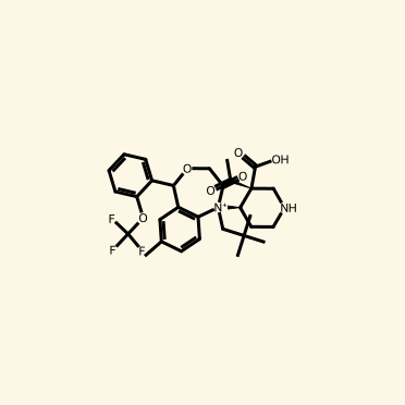 CC(=O)[C@@]1(C(=O)O)CNCC[C@H]1[N+]1(CC(C)(C)C)C(=O)COC(c2ccccc2OC(F)(F)F)c2cc(C)ccc21